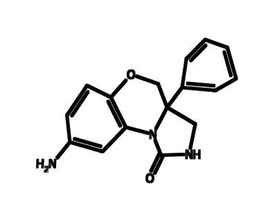 Nc1ccc2c(c1)N1C(=O)NCC1(c1ccccc1)CO2